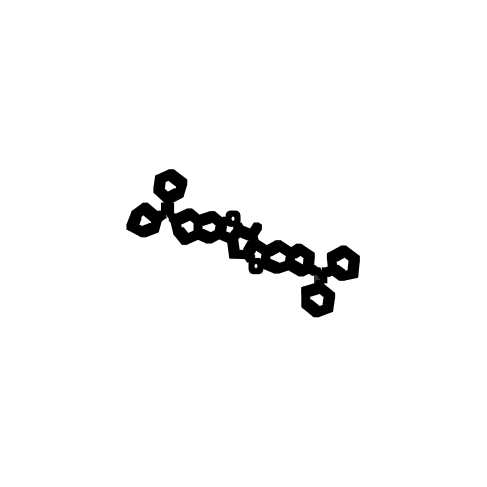 Cc1c2oc3cc4cc(N(c5ccccc5)c5ccccc5)ccc4cc3c2cc2oc3cc4cc(N(c5ccccc5)c5ccccc5)ccc4cc3c12